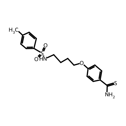 Cc1ccc(S(=O)(=O)NCCCCOc2ccc(C(N)=S)cc2)cc1